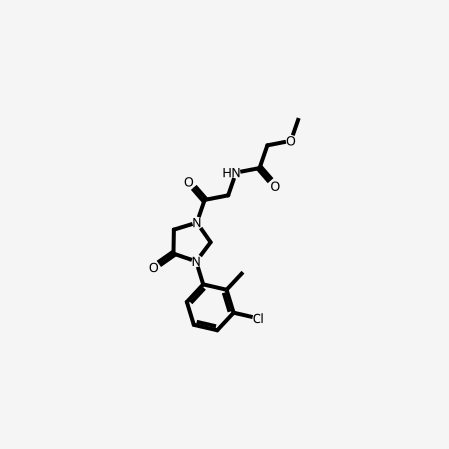 COCC(=O)NCC(=O)N1CC(=O)N(c2cccc(Cl)c2C)C1